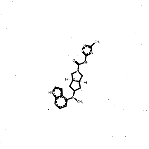 Cc1nsc(NC(=O)N2C[C@H]3CC(N(C)c4ccnc5[nH]ccc45)C[C@H]3C2)n1